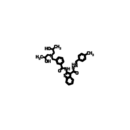 Cc1ccc(C=NNC(=O)c2c(NC(=O)c3cccc(CN(CC(C)O)CC(C)O)c3)sc3ccccc23)cc1